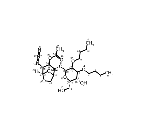 CCCCOC1[C@H](O)[C@H](CO)O[C@@H](O[C@@H]2C3CO[C@H](O3)[C@@H](N=[N+]=[N-])C2OC(C)=O)[C@H]1OCCCC